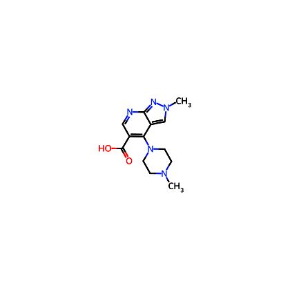 CN1CCN(c2c(C(=O)O)cnc3nn(C)cc23)CC1